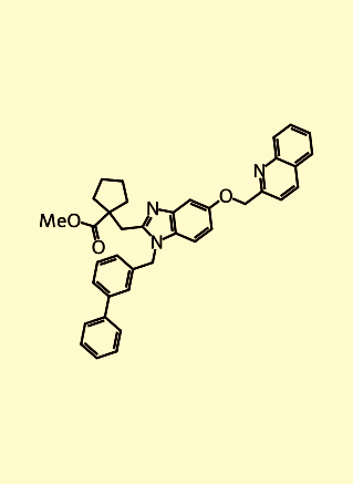 COC(=O)C1(Cc2nc3cc(OCc4ccc5ccccc5n4)ccc3n2Cc2cccc(-c3ccccc3)c2)CCCC1